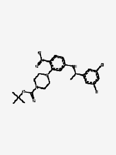 CC(Nc1ccc([N+](=O)[O-])c(N2CCN(C(=O)OC(C)(C)C)CC2)c1)c1cc(Cl)cc(Cl)c1